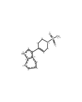 CS(=O)(=O)N1CC=C(c2c[nH]c3ncccc23)CC1